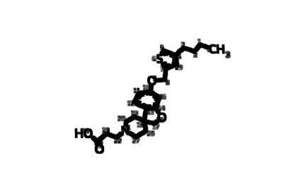 CCCCc1csc(COc2ccc3c(c2)OCC32CCN(CCC(=O)O)CC2)c1